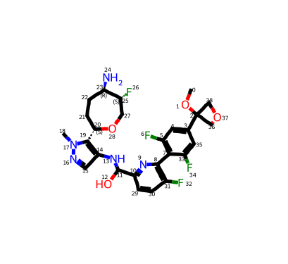 COC1(c2cc(F)c(-c3nc(C(O)Nc4cnn(C)c4[C@@H]4CC[C@@H](N)[C@H](F)CO4)ccc3F)c(F)c2)COC1